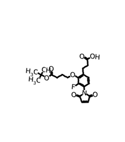 CC(C)(C)OC(=O)CCCOc1c(CCC(=O)O)ccc(N2C(=O)C=CC2=O)c1F